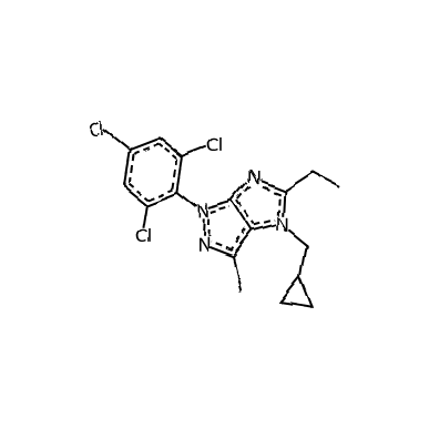 CCc1nc2c(c(C)nn2-c2c(Cl)cc(Cl)cc2Cl)n1CC1CC1